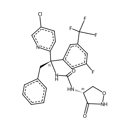 O=C(N[C@@H]1CONC1=O)N[C@@](Cc1ccccc1)(c1cc(F)cc(C(F)(F)F)c1)c1ccc(Cl)cn1